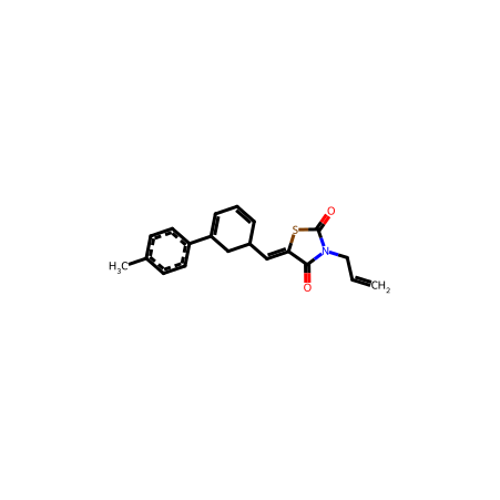 C=CCN1C(=O)S/C(=C\C2C=CC=C(c3ccc(C)cc3)C2)C1=O